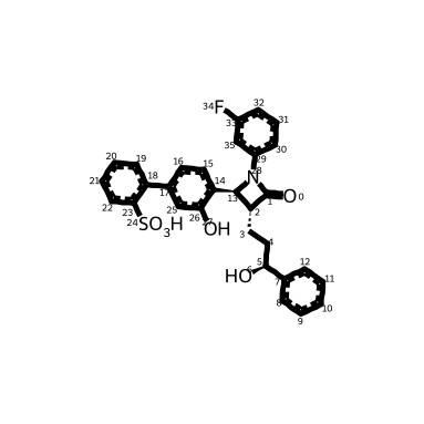 O=C1[C@H](CC[C@H](O)c2ccccc2)[C@@H](c2ccc(-c3ccccc3S(=O)(=O)O)cc2O)N1c1cccc(F)c1